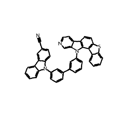 N#Cc1ccc2c(c1)c1ccccc1n2-c1cccc(-c2cccc(-n3c4cnccc4c4ccc5sc6ccccc6c5c43)c2)c1